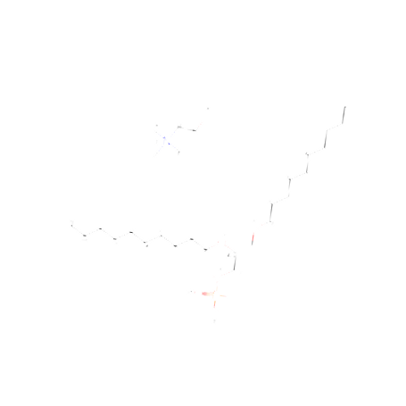 CCCCCCCCCCOC[C@H](COP(=O)(O)O)OCCCCCCCCCC.C[N+](C)(C)CCO